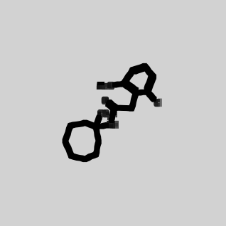 COc1cccc(Cl)c1CC(=O)NC1(C(=O)O)CCCCCCC1